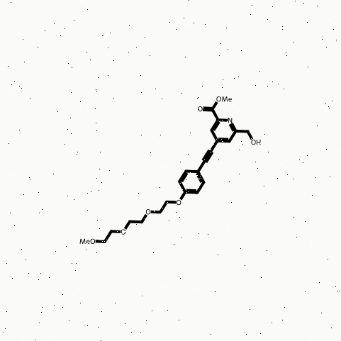 COCCOCCOCCOc1ccc(C#Cc2cc(CO)nc(C(=O)OC)c2)cc1